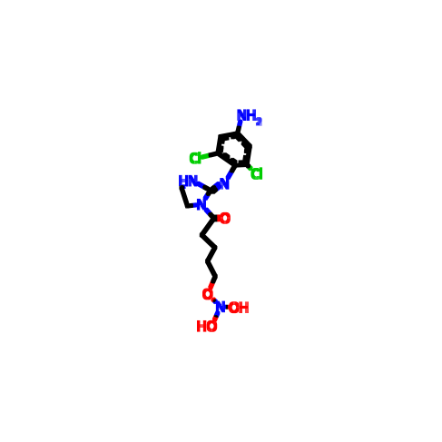 Nc1cc(Cl)c(/N=C2\NCCN2C(=O)CCCCON(O)O)c(Cl)c1